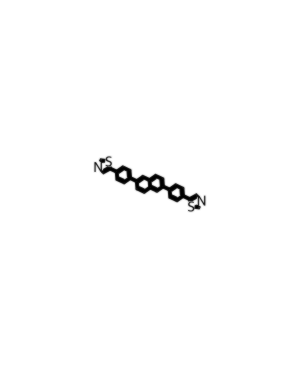 c1ncc(-c2ccc(-c3ccc4cc(-c5ccc(-c6cncs6)cc5)ccc4c3)cc2)s1